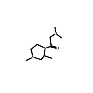 CC1CN(C)CCN1C(=O)CN(C)C